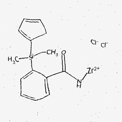 C[Si](C)(C1=CC=CC1)c1ccccc1C(=O)[NH][Zr+2].[Cl-].[Cl-]